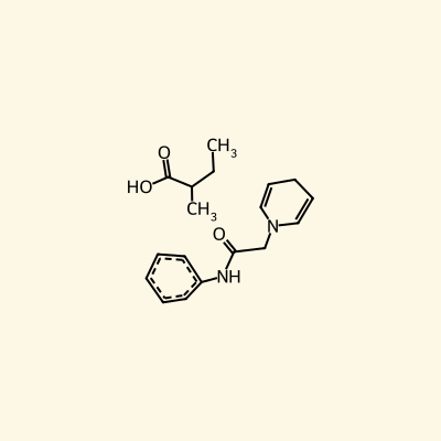 CCC(C)C(=O)O.O=C(CN1C=CCC=C1)Nc1ccccc1